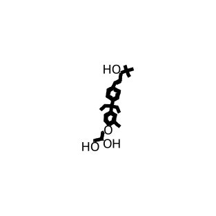 CCC(CC)(c1ccc(/C=C/C(O)C(C)(C)C)cc1)c1ccc(OC[C@H](O)CO)c(C)c1